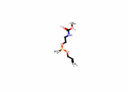 C=CCOP(C)OCCNC(=O)OC(C)(C)C